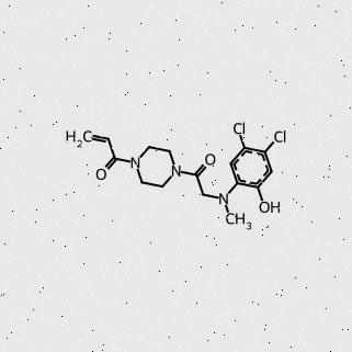 C=CC(=O)N1CCN(C(=O)CN(C)c2cc(Cl)c(Cl)cc2O)CC1